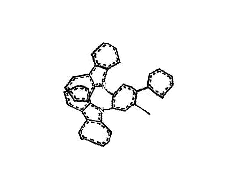 Cc1cc(-n2c3ccccc3c3ccccc32)c(-n2c3ccccc3c3ccccc32)cc1-c1ccccc1